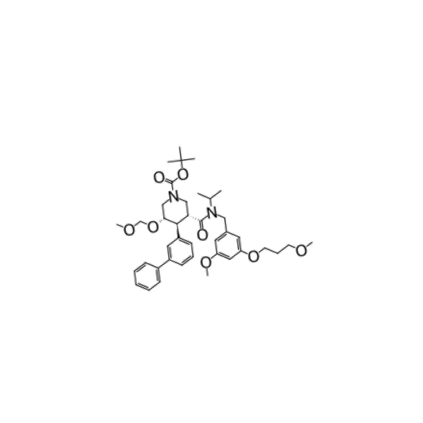 COCCCOc1cc(CN(C(=O)[C@H]2CN(C(=O)OC(C)(C)C)C[C@@H](OCOC)[C@@H]2c2cccc(-c3ccccc3)c2)C(C)C)cc(OC)c1